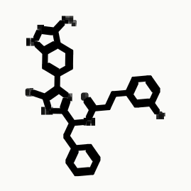 Nc1n[nH]c2cc(-c3nc(C(Cc4ccccc4)NC(=O)CCc4cccc(Br)c4)[nH]c3Cl)ccc12